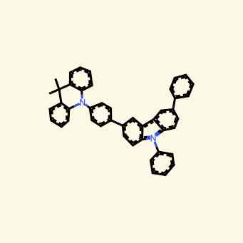 CC1(C)c2ccccc2N(c2ccc(-c3ccc4c(c3)c3cc(-c5ccccc5)ccc3n4-c3ccccc3)cc2)c2ccccc21